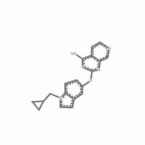 Oc1nc(Oc2ccc3c(ccn3CC3CC3)c2)nc2cnccc12